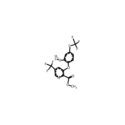 COC(=O)c1ncc(C(F)(F)F)cc1Oc1ccc(OC(F)(F)F)cc1OC